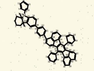 CC12CCCCC1(C)N(c1ccccc1)c1ccc(-c3ccc(-c4ccc5c6c(-c7ccccc7)c7c8cccc9cccc(c7c(-c7ccccc7)c6c6cccc4c65)c98)cc3)cc12